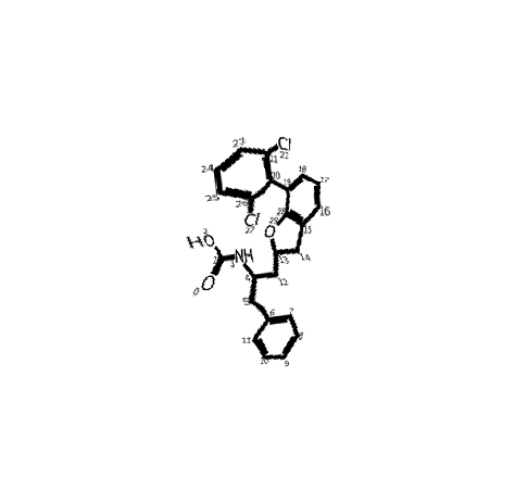 O=C(O)NC(Cc1ccccc1)CC1Cc2cccc(-c3c(Cl)cccc3Cl)c2O1